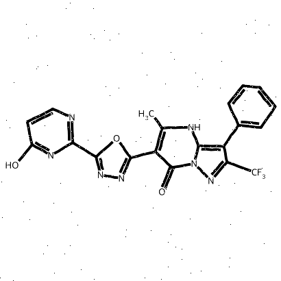 Cc1[nH]c2c(-c3ccccc3)c(C(F)(F)F)nn2c(=O)c1-c1nnc(-c2nccc(O)n2)o1